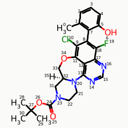 Cc1cccc(O)c1-c1c(Cl)c2c3c(ncnc3c1F)N1CCN(C(=O)OC(C)(C)C)C[C@H]1CO2